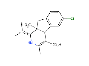 CC(C)=C1NC(C)=C(C(=O)O)C2c3cc(Cl)ccc3CC12C(=O)O